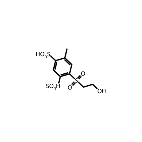 Cc1cc(S(=O)(=O)CCO)c(S(=O)(=O)O)cc1S(=O)(=O)O